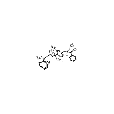 Cc1cc(CC(C)(C)C(=O)c2ccccc2)ccc1C(C)(C)CCC(C)c1ccccn1